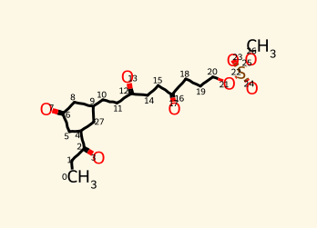 CCC(=O)C1CC(=O)CC(CCC(=O)CCC(=O)CCCOS(=O)(=O)OC)C1